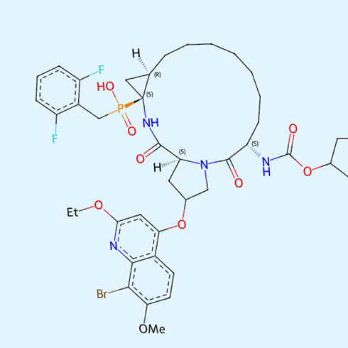 CCOc1cc(OC2C[C@H]3C(=O)N[C@]4(P(=O)(O)Cc5c(F)cccc5F)C[C@H]4CCCCCCC[C@H](NC(=O)OC4CCCC4)C(=O)N3C2)c2ccc(OC)c(Br)c2n1